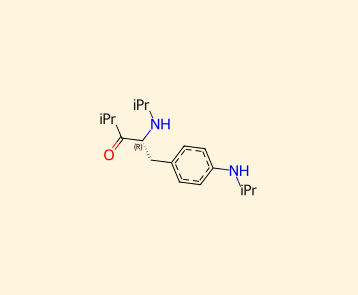 CC(C)Nc1ccc(C[C@@H](NC(C)C)C(=O)C(C)C)cc1